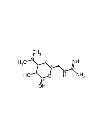 CN(C)C1C[C@@H](CNC(=N)N)O[C@@H](O)C1O